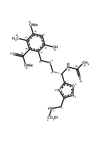 CCOC(=O)NCc1noc([C@H](CSCc2c(O)cc(OC)c(C)c2C(=O)OC)NC(C)=S)n1